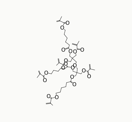 C=C(C)C(=O)OCCCCCC(=O)OCC(COCC(COC(=O)CCCCCOC(=O)C(=C)C)(COC(=O)C(=C)C)COC(=O)C(=C)C)(COC(=O)CCCCCOC(=O)C(=C)C)COC(=O)C(=C)C